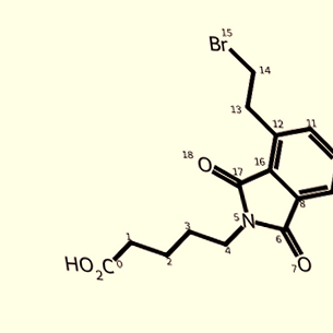 O=C(O)CCCCN1C(=O)c2cccc(CCBr)c2C1=O